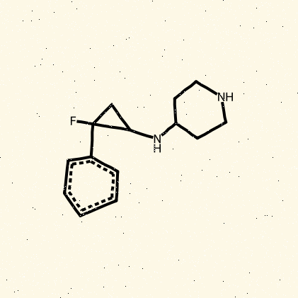 FC1(c2ccccc2)CC1NC1CCNCC1